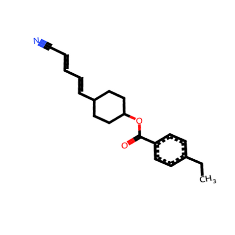 CCc1ccc(C(=O)OC2CCC(/C=C/C=CC#N)CC2)cc1